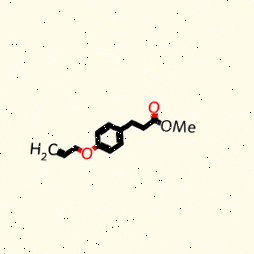 C=CCOc1ccc(CCC(=O)OC)cc1